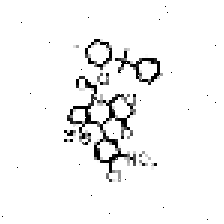 C[C@@H]1CC[C@@H](C(C)(C)c2ccccc2)[C@H](OC(=O)N2C3=C(C(=O)COC3)C(c3ccc(Cl)c([N+](=O)[O-])c3)C3=C2CCS3(=O)=O)C1